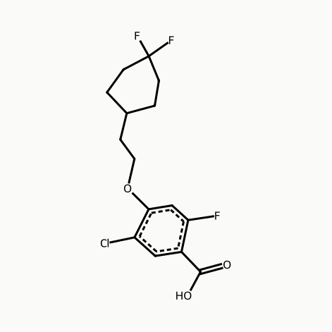 O=C(O)c1cc(Cl)c(OCCC2CCC(F)(F)CC2)cc1F